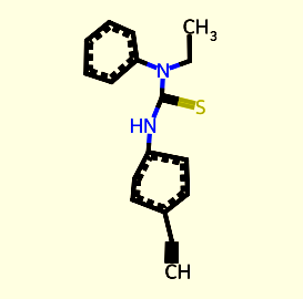 C#Cc1ccc(NC(=S)N(CC)c2ccccc2)cc1